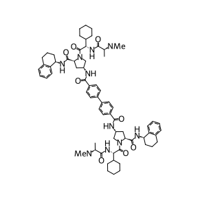 CN[C@@H](C)C(=O)N[C@H](C(=O)N1C[C@@H](NC(=O)c2ccc(-c3ccc(C(=O)N[C@H]4C[C@@H](C(=O)N[C@@H]5CCCc6ccccc65)N(C(=O)[C@@H](NC(=O)[C@H](C)NC)C5CCCCC5)C4)cc3)cc2)C[C@H]1C(=O)N[C@@H]1CCCc2ccccc21)C1CCCCC1